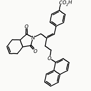 O=C(O)c1ccc(/C=C(/CCOc2cccc3ccccc23)CN2C(=O)C3CC=CCC3C2=O)cc1